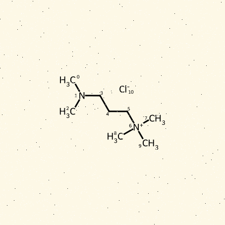 CN(C)CCC[N+](C)(C)C.[Cl-]